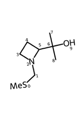 CSCN1CCC1C(C)(C)O